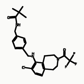 CC(C)(C)C(=O)NCc1ccc(CNc2c(Cl)ccc3c2CCN(C(=O)C(F)(F)F)CC3)cc1